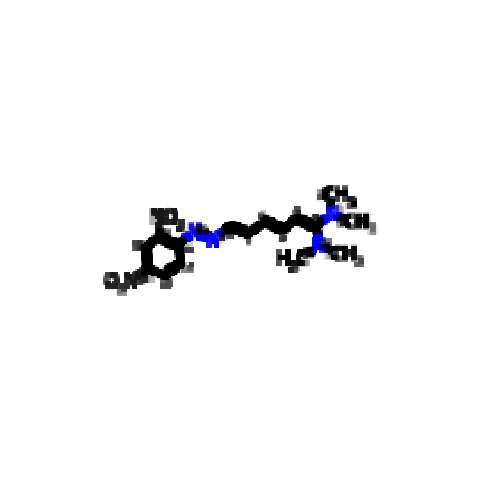 CN(C)C(=CC=CC=CN=Nc1ccc([N+](=O)[O-])cc1[N+](=O)[O-])N(C)C